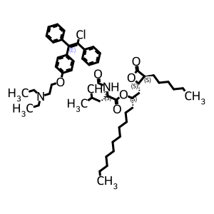 CCCCCCCCCCC[C@@H](C[C@@H]1OC(=O)[C@H]1CCCCCC)OC(=O)[C@H](CC(C)C)NC=O.CCN(CC)CCOc1ccc(/C(=C(/Cl)c2ccccc2)c2ccccc2)cc1